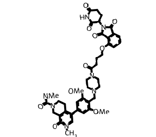 CNC(=O)N1CCc2c(-c3cc(OC)c(CN4CCN(C(=O)CCCOc5cccc6c5C(=O)N(C5CCC(=O)NC5=O)C6=O)CC4)c(OC)c3)cn(C)c(=O)c2C1